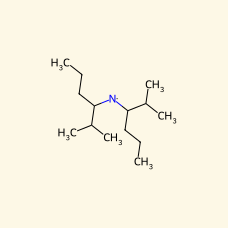 CCCC([N]C(CCC)C(C)C)C(C)C